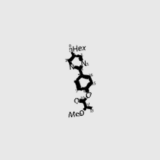 CCCCCCc1cnc(-c2ccc(OC(=O)C(C)OC)cc2)nc1